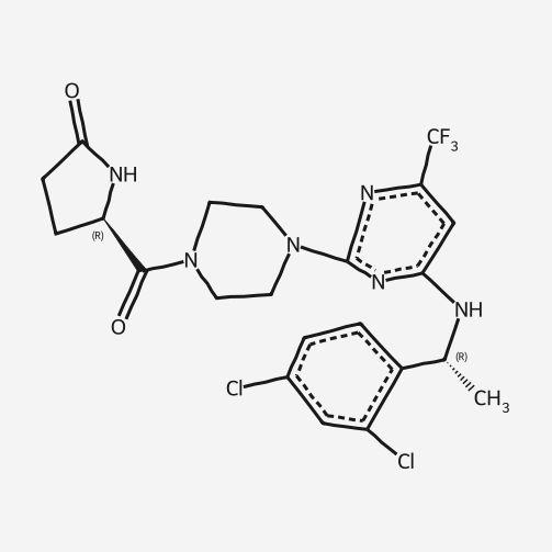 C[C@@H](Nc1cc(C(F)(F)F)nc(N2CCN(C(=O)[C@H]3CCC(=O)N3)CC2)n1)c1ccc(Cl)cc1Cl